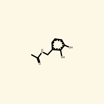 CC(=O)NCc1cc[c]c(O)c1O